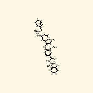 COc1cc(C(=O)NS(=O)(=O)c2ccccc2C)ccc1Cc1cn(C)c2ccc(NC(=O)OC3CC4CCC3C4)cc12